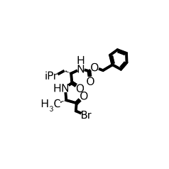 CC(C)C[C@H](NC(=O)OCc1ccccc1)C(=O)N[C@@H](C)C(=O)CBr